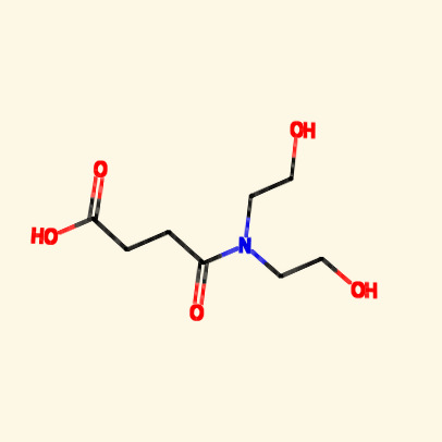 O=C(O)CCC(=O)N(CCO)CCO